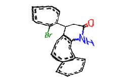 O=C1CC(c2ccccc2Br)c2ccc3ccccc3c2N1